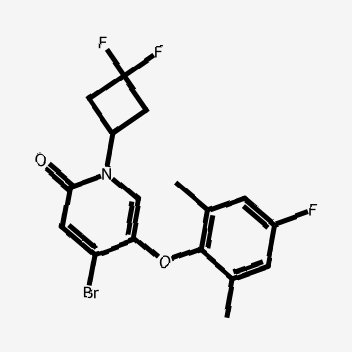 Cc1cc(F)cc(C)c1Oc1cn(C2CC(F)(F)C2)c(=O)cc1Br